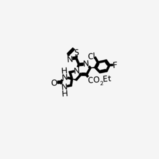 CCOC(=O)C1=C2C[C@]3(CNC(=O)N3)CN2C(c2nccs2)=N[C@H]1c1ccc(F)cc1Cl